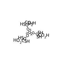 CC1(C)c2cc(-c3cc(S)c(C(=O)O)c(S)c3)ccc2-c2c1c1c(c3c2C(C)(C)c2cc(-c4cc(S)c(C(=O)O)c(S)c4)ccc2-3)C(C)(C)c2cc(-c3cc(S)c(C(=O)O)c(S)c3)ccc2-1